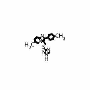 Cc1ccc(-c2nc3ccc(C)cn3c2CSc2nc[nH]n2)cc1